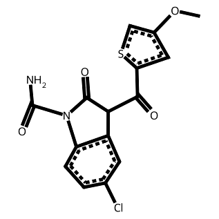 COc1csc(C(=O)C2C(=O)N(C(N)=O)c3ccc(Cl)cc32)c1